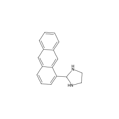 c1ccc2cc3c([C]4NCCN4)cccc3cc2c1